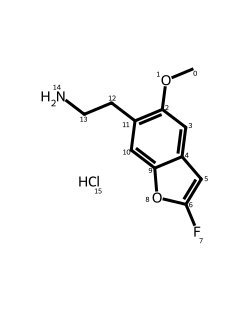 COc1cc2cc(F)oc2cc1CCN.Cl